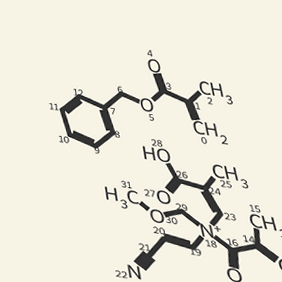 C=C(C)C(=O)OCc1ccccc1.C=C(C)C(=O)[N+](C=CC#N)(C=C(C)C(=O)O)COC